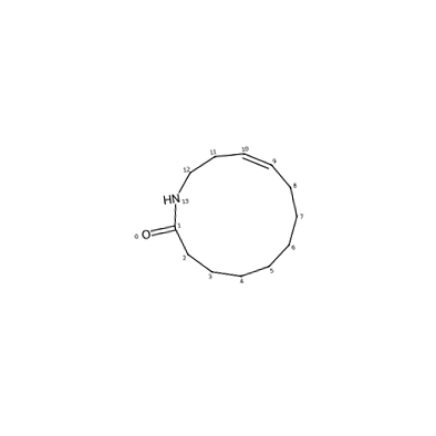 O=C1CCCCCCCC=CCCN1